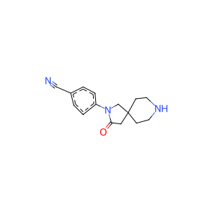 N#Cc1ccc(N2CC3(CCNCC3)CC2=O)cc1